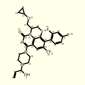 C=CC(O)N1CCN(c2nc(=O)n3c4c(c(-c5ccc(F)cc5F)c(C(F)(F)F)cc24)SCC3COC2CC2)CC1